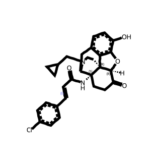 O=C(/C=C/c1ccc(Cl)cc1)N[C@@]12CCC(=O)[C@@H]3Oc4c(O)ccc5c4[C@@]31CCN(CC1CC1)C2C5